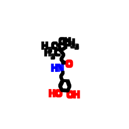 CCC(C)(CCC(=O)NCCc1ccc(O)c(O)c1)C(C)C